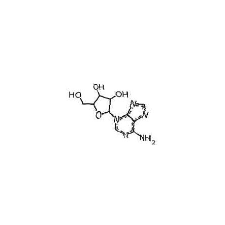 Nc1ncn(C2OC(CO)C(O)C2O)c2ncnc1-2